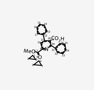 C1CC1.C1CC1.COC(=O)c1cc(-c2ccccc2)c(C(=O)O)c(-c2ccccc2)n1